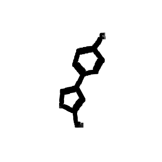 CC(C)(C)c1cc(-c2ccc(Cl)cc2)cs1